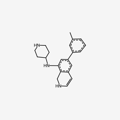 Cc1cccc(-c2cc3c(c(NC4CCNCC4)c2)CNC=C3)c1